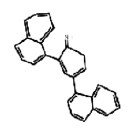 N=C1CC=C(c2cccc3ccccc23)C=C1c1cccc2ccccc12